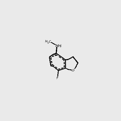 CNc1ccc(F)c2c1CCO2